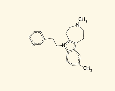 Cc1ccc2c(c1)c1c(n2CCc2cccnc2)CCN(C)CC1